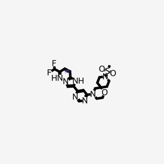 CS(=O)(=O)N1CCC2(CC1)CN(c1cc(-c3cnc(/C=C\C(=N)C(F)F)[nH]3)ncn1)CCO2